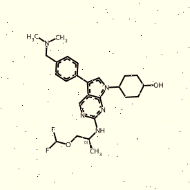 C[C@@H](COC(F)F)Nc1ncc2c(-c3ccc(CN(C)C)cc3)cn(C3CCC(O)CC3)c2n1